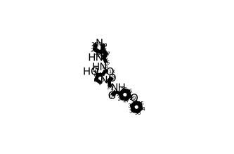 O=C(NCC(=O)N1CC[C@@H](O)C1C(=O)NCc1cc2cnccc2[nH]1)c1ccc(Oc2ccccc2)cc1